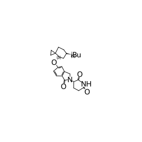 CC[C@H](C)C1CCC2(CC2)[C@@H](Oc2ccc3c(c2)CN(C2CCC(=O)NC2=O)C3=O)C1